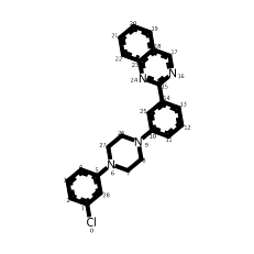 Clc1cccc(N2CCN(c3cccc(-c4ncc5ccccc5n4)c3)CC2)c1